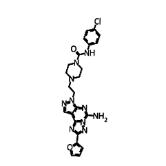 Nc1nc2c(cnn2CCN2CCN(C(=O)Nc3ccc(Cl)cc3)CC2)c2nc(-c3ccco3)nn12